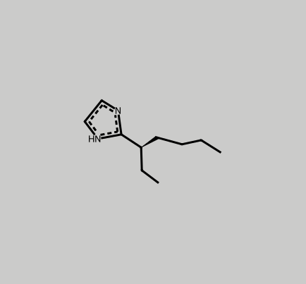 CCCC[C@@H](CC)c1ncc[nH]1